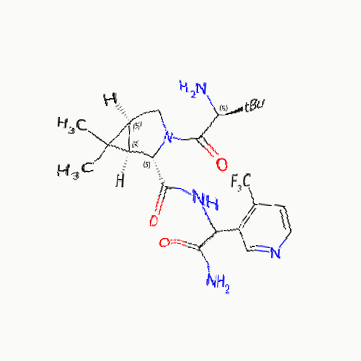 CC(C)(C)[C@H](N)C(=O)N1C[C@H]2[C@@H]([C@H]1C(=O)NC(C(N)=O)c1cnccc1C(F)(F)F)C2(C)C